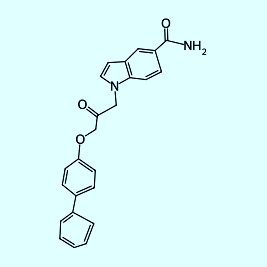 NC(=O)c1ccc2c(ccn2CC(=O)COc2ccc(-c3ccccc3)cc2)c1